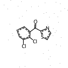 O=C(c1nccs1)c1cccc(Cl)c1Cl